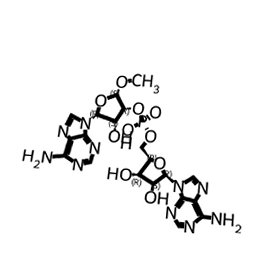 CO[C@H]1O[C@@H](n2cnc3c(N)ncnc32)[C@@H](O)[C@H]1OP(=O)(O)OC[C@H]1O[C@@H](n2cnc3c(N)ncnc32)[C@@H](O)[C@H]1O